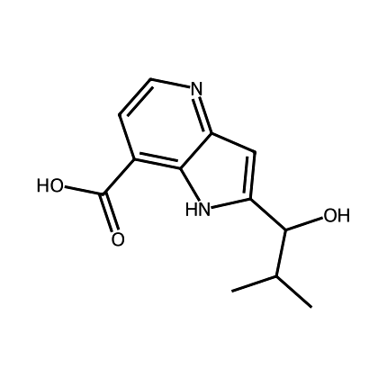 CC(C)C(O)c1cc2nccc(C(=O)O)c2[nH]1